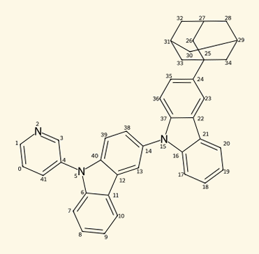 c1cncc(-n2c3ccccc3c3cc(-n4c5ccccc5c5cc(C67CC8CC(CC(C8)C6)C7)ccc54)ccc32)c1